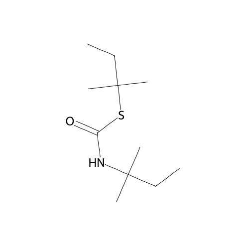 CCC(C)(C)NC(=O)SC(C)(C)CC